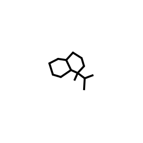 CC(C)C1(C)CCCC2CCCCC21